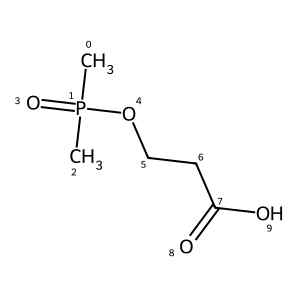 CP(C)(=O)OCCC(=O)O